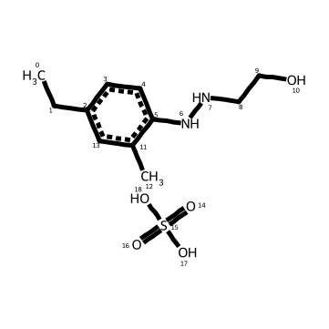 CCc1ccc(NNCCO)c(C)c1.O=S(=O)(O)O